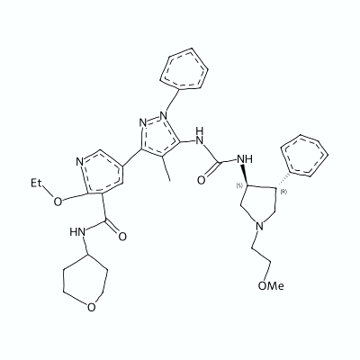 CCOc1ncc(-c2nn(-c3ccccc3)c(NC(=O)N[C@@H]3CN(CCOC)C[C@H]3c3ccccc3)c2C)cc1C(=O)NC1CCOCC1